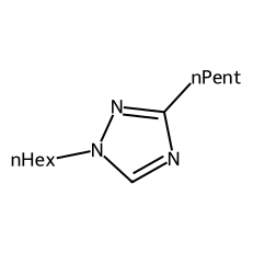 [CH2]CCCCCn1cnc(CCCCC)n1